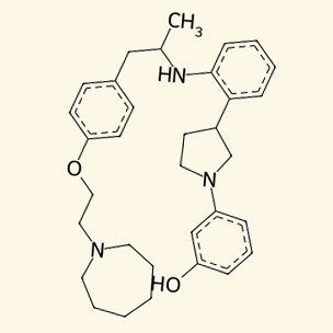 CC(Cc1ccc(OCCN2CCCCCC2)cc1)Nc1ccccc1C1CCN(c2cccc(O)c2)C1